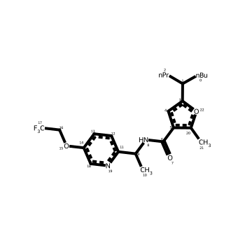 CCCCC(CCC)c1cc(C(=O)NC(C)c2ccc(OCC(F)(F)F)cn2)c(C)o1